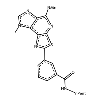 CCCCCNC(=O)c1cccc(-c2nc3c(nc(NC)c4ncn(C)c43)s2)c1